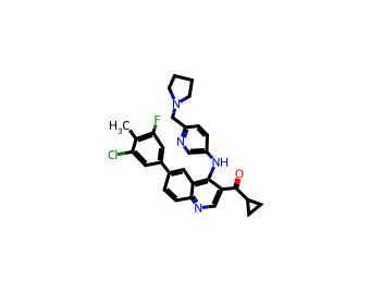 Cc1c(F)cc(-c2ccc3ncc(C(=O)C4CC4)c(Nc4ccc(CN5CCCC5)nc4)c3c2)cc1Cl